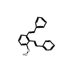 OOc1cccc(C=Cc2ccccc2)c1C=Cc1ccccc1